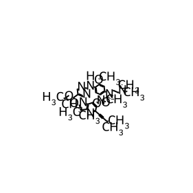 COc1cc(N(C)CCN(C)C)c([N+](=O)[O-])cc1Nc1ncc(C(=O)OC(C)C)c(N2CC(C)(C)c3nc(C#CC(C)C)ccc32)n1